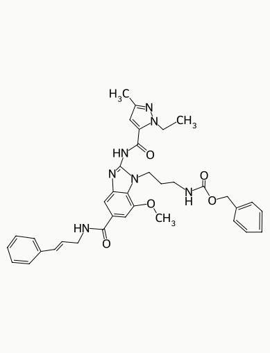 CCn1nc(C)cc1C(=O)Nc1nc2cc(C(=O)NC/C=C/c3ccccc3)cc(OC)c2n1CCCNC(=O)OCc1ccccc1